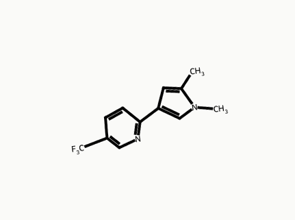 Cc1cc(-c2ccc(C(F)(F)F)cn2)cn1C